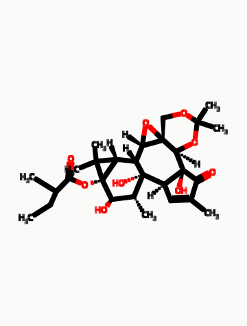 CCC(C)C(=O)O[C@@]12[C@H](O)[C@@H](C)[C@@]3(O)[C@@H]([C@@H]4O[C@@]45COC(C)(C)O[C@H]5[C@]4(O)C(=O)C(C)=C[C@H]43)[C@H]1C2(C)C